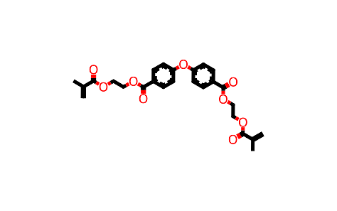 C=C(C)C(=O)OCCOC(=O)c1ccc(Oc2ccc(C(=O)OCCOC(=O)C(=C)C)cc2)cc1